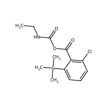 CCNC(=O)OC(=O)c1c(Cl)cccc1[Si](C)(C)C